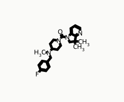 CN(Cc1ccc(F)cc1)C1CCN(C(=O)N2CC(C)(C)c3ncccc32)CC1